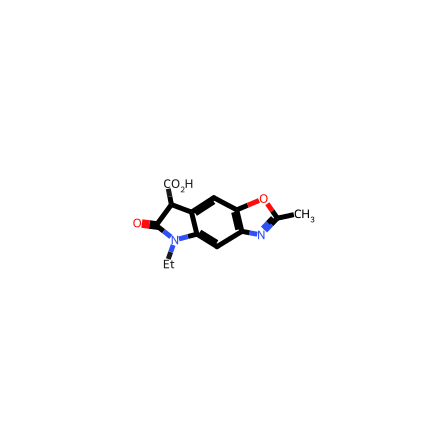 CCN1C(=O)C(C(=O)O)c2cc3oc(C)nc3cc21